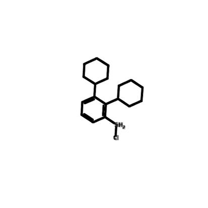 Cl[SiH2]c1cccc(C2CCCCC2)c1C1CCCCC1